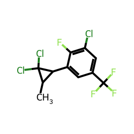 CC1C(c2cc(C(F)(F)F)cc(Cl)c2F)C1(Cl)Cl